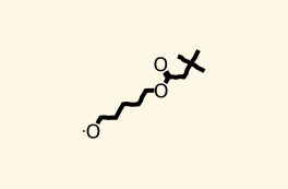 CC(C)(C)CC(=O)OCCCCC[O]